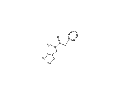 COC(CN(C)C(=O)Cc1ccccc1)OC